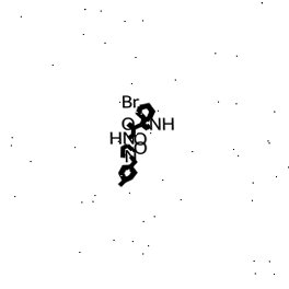 Cc1ccc(CN2CCC(NC(=O)C(=O)c3c[nH]c4ccc(Br)cc34)C2=O)cc1